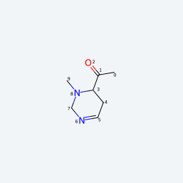 CC(=O)C1CC=NCN1C